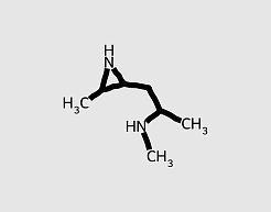 CNC(C)CC1NC1C